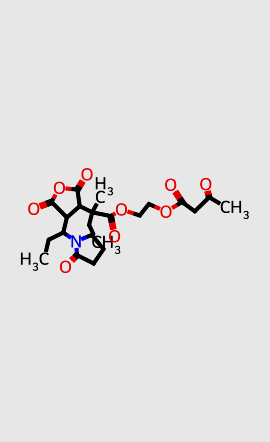 CCC(C1C(=O)OC(=O)C1C(C)(CC)C(=O)OCCOC(=O)CC(C)=O)N1CCCC1=O